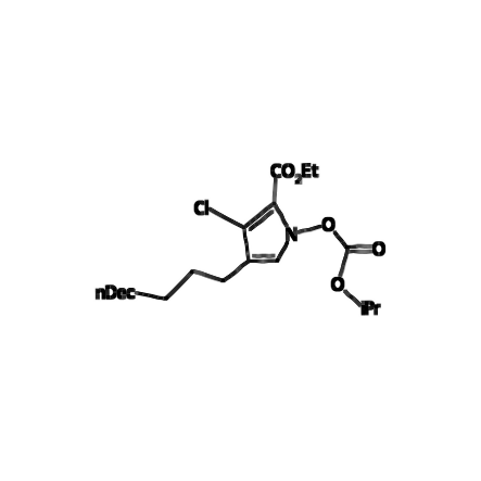 CCCCCCCCCCCCCc1cn(OC(=O)OC(C)C)c(C(=O)OCC)c1Cl